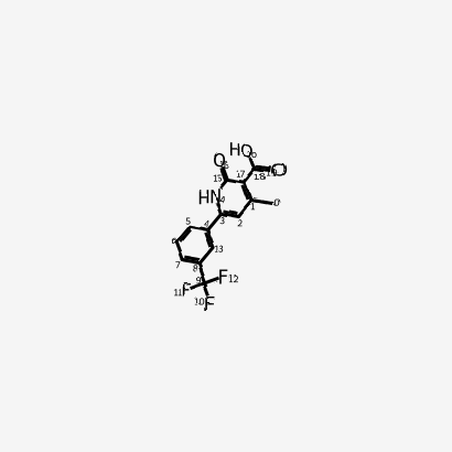 Cc1cc(-c2cccc(C(F)(F)F)c2)[nH]c(=O)c1C(=O)O